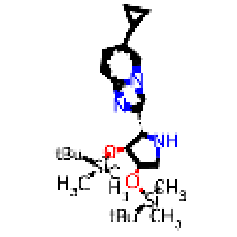 CC(C)(C)[Si](C)(C)O[C@@H]1[C@H](O[Si](C)(C)C(C)(C)C)CN[C@H]1c1cn2cc(C3CC3)ccc2n1